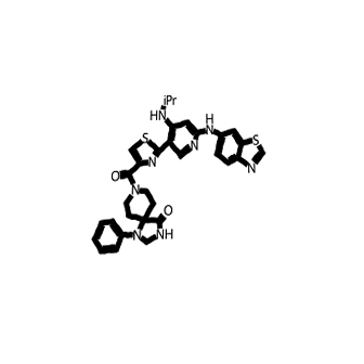 CC(C)Nc1cc(Nc2ccc3ncsc3c2)ncc1-c1nc(C(=O)N2CCC3(CC2)C(=O)NCN3c2ccccc2)cs1